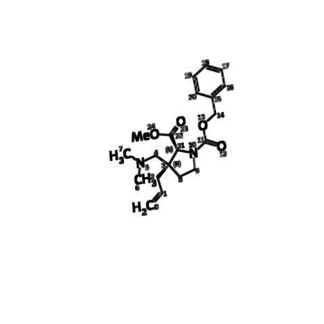 C=CC[C@]1(CN(C)C)CCN(C(=O)OCc2ccccc2)[C@@H]1C(=O)OC